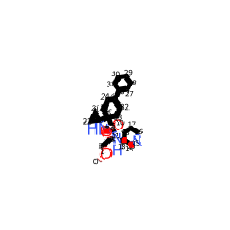 COCCOCC1(C2(NC(=O)N[C@]3(C)CN4CCC3CC4)CC2)C=CC(c2ccccc2)=CC1